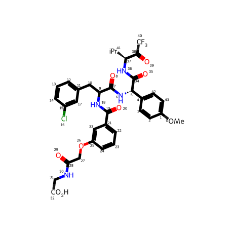 COc1ccc([C@H](NC(=O)C(Cc2cccc(Cl)c2)NC(=O)c2cccc(OCC(=O)NCC(=O)O)c2)C(=O)N[C@H](C(=O)C(F)(F)F)C(C)C)cc1